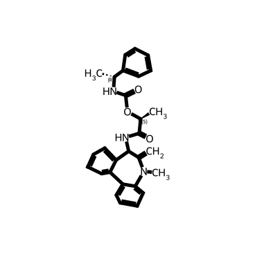 C=C1C(NC(=O)[C@H](C)OC(=O)N[C@H](C)c2ccccc2)c2ccccc2-c2ccccc2N1C